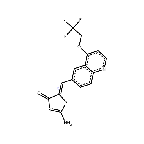 NC1=NC(=O)/C(=C/c2ccc3nccc(OCC(F)(F)F)c3c2)S1